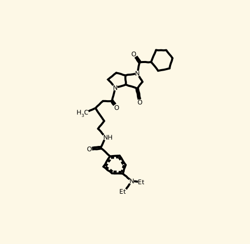 CCN(CC)c1ccc(C(=O)NCCC(C)CC(=O)N2CCC3C2C(=O)CN3C(=O)C2CCCCC2)cc1